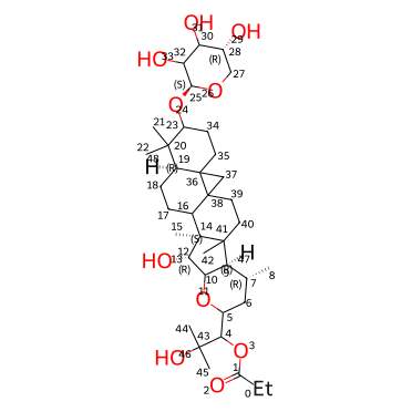 CCC(=O)OC(C1C[C@@H](C)[C@H]2C(O1)[C@H](O)[C@@]1(C)C3CC[C@H]4C(C)(C)C(O[C@@H]5OC[C@@H](O)C(O)C5O)CCC45CC35CCC21C)C(C)(C)O